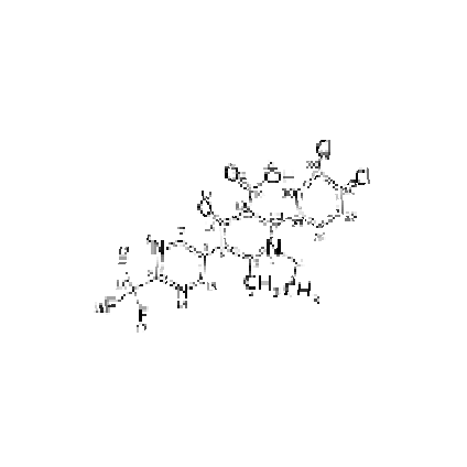 CCn1c(C)c(-c2cnc(C(F)(F)F)nc2)c(=O)c(C(=O)O)c1-c1ccc(Cl)c(Cl)c1